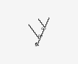 CCCCCCCCCCCCC(O)CN(CCCCCCCC(=O)OC(CCCCCCCC)CCCCCCCC)CCCn1ccnc1C